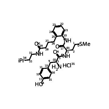 CSCC[C@@H](NC(=O)[C@@H](N)Cc1ccc(O)cc1)C(=O)Nc1ccccc1CCCC(=O)NCCC(C)C.Cl